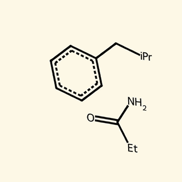 CC(C)Cc1ccccc1.CCC(N)=O